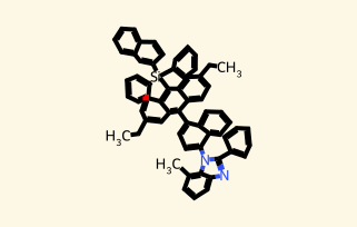 CCc1ccc2c([Si](c3ccccc3)(c3ccccc3)c3ccc4ccccc4c3)c3cc(CC)ccc3c(-c3ccc(-n4c(-c5ccccc5)nc5cccc(C)c54)c4ccccc34)c2c1